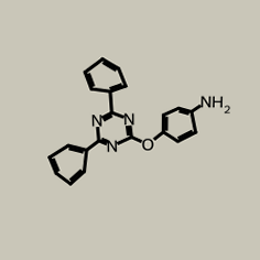 Nc1ccc(Oc2nc(-c3ccccc3)nc(-c3ccccc3)n2)cc1